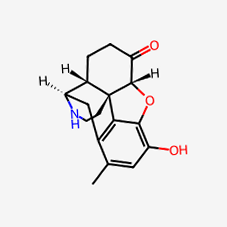 Cc1cc(O)c2c3c1C[C@H]1NCC[C@@]34[C@@H](O2)C(=O)CC[C@@H]14